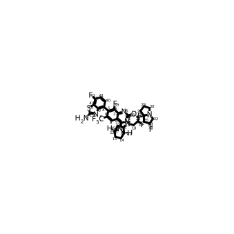 Nc1nc2c(-c3c(C(F)(F)F)cc4c(N5[C@@H]6CC[C@H]5C(NCC(F)F)C6)nc(OC[C@@]56CCCN5C[C@H](F)C6)nc4c3F)ccc(F)c2s1